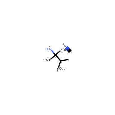 C#N.CCCCCCCCC(C)C(N)(CCCCCCCC)CCCCCCCC